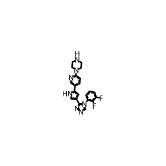 Fc1cccc(-n2cnnc2-c2c[nH]c(-c3ccc(N4CCNCC4)nc3)c2)c1F